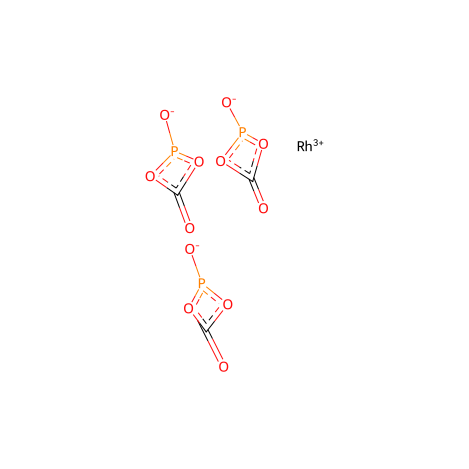 O=c1op([O-])o1.O=c1op([O-])o1.O=c1op([O-])o1.[Rh+3]